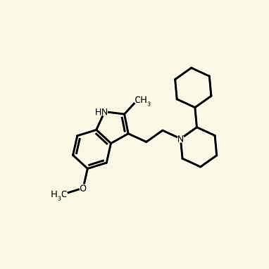 COc1ccc2[nH]c(C)c(CCN3CCCCC3C3CCCCC3)c2c1